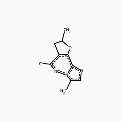 Cc1cnc2c3c(c(Cl)nn12)CC(C)O3